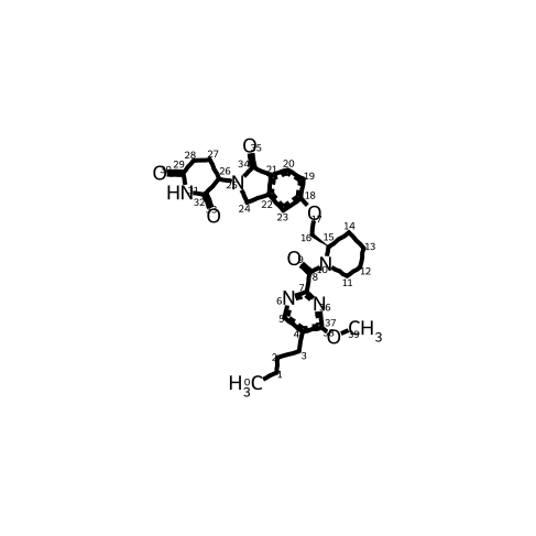 CCCCc1cnc(C(=O)N2CCCC[C@@H]2COc2ccc3c(c2)CN(C2CCC(=O)NC2=O)C3=O)nc1OC